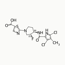 Cc1c(Cl)[nH]c(C(=O)N[C@@H]2CCN(c3ncc(C(=O)O)s3)C[C@@H]2F)c1Cl